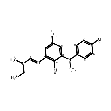 CCN(C)C=Nc1cc(C)cc(N(C)c2ccc(Cl)cc2)c1Cl